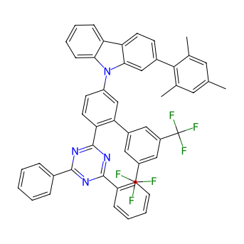 Cc1cc(C)c(-c2ccc3c4ccccc4n(-c4ccc(-c5nc(-c6ccccc6)nc(-c6ccccc6)n5)c(-c5cc(C(F)(F)F)cc(C(F)(F)F)c5)c4)c3c2)c(C)c1